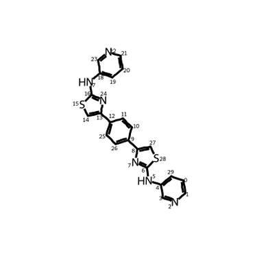 c1cncc(Nc2nc(-c3ccc(-c4csc(Nc5cccnc5)n4)cc3)cs2)c1